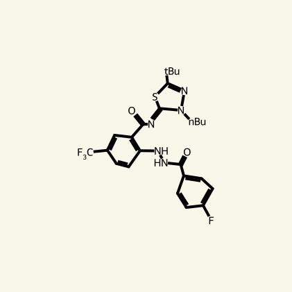 CCCCn1nc(C(C)(C)C)sc1=NC(=O)c1cc(C(F)(F)F)ccc1NNC(=O)c1ccc(F)cc1